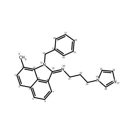 Cc1ccc2cccc3c2c1N(Cc1ccccc1)C3=NCCCn1ccnc1